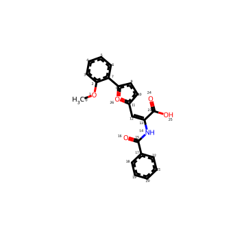 COc1ccccc1-c1ccc(/C=C(/NC(=O)c2ccccc2)C(=O)O)o1